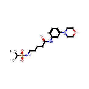 CC(C)S(=O)(=O)NCCCCC(=O)Nc1cccc(N2CCOCC2)c1